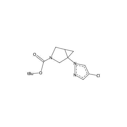 CC(C)(C)OC(=O)N1CC2CC2(n2cc(Cl)cn2)C1